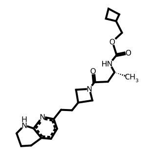 C[C@H](CC(=O)N1CC(CCc2ccc3c(n2)NCCC3)C1)NC(=O)OCC1CCC1